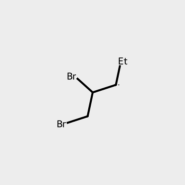 CC[CH]C(Br)CBr